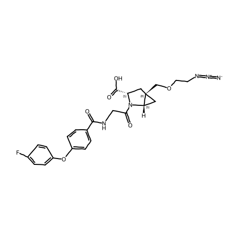 [N-]=[N+]=NCCOC[C@@]12C[C@@H]1N(C(=O)CNC(=O)c1ccc(Oc3ccc(F)cc3)cc1)[C@H](C(=O)O)C2